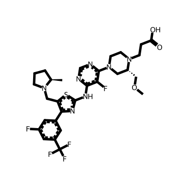 COC[C@@H]1CN(c2ncnc(Nc3nc(-c4cc(F)cc(C(F)(F)F)c4)c(CN4CCC[C@H]4C)s3)c2F)CCN1CCC(=O)O